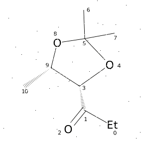 CCC(=O)[C@H]1OC(C)(C)O[C@H]1C